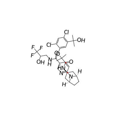 CC(C)(Oc1cc(C(C)(C)O)c(Cl)cc1Cl)C(=O)N[C@H]1C[C@H]2CC[C@@H](C1)N2c1ccc(C(=O)NCC(O)C(F)(F)F)cn1